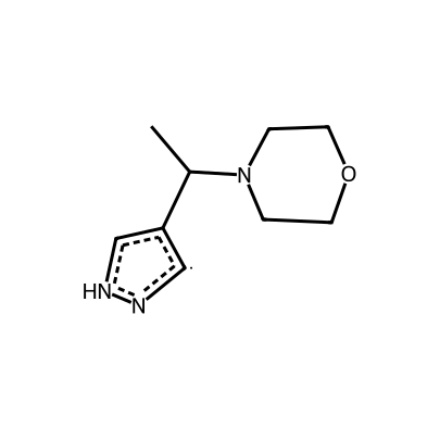 CC(c1[c]n[nH]c1)N1CCOCC1